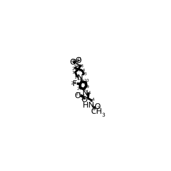 CC(=O)NCC1CN(c2ccc(N3CCC4(CC3)CS(=O)(=O)C4)c(F)c2)C(=O)O1